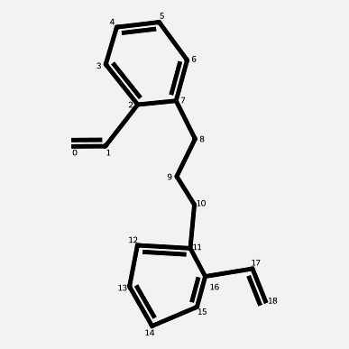 C=Cc1ccccc1CCCc1ccccc1C=C